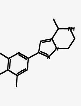 Cc1cc(-c2cc3n(n2)CCNC3C)cc(C)c1F